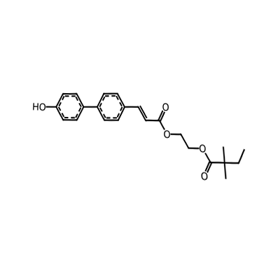 CCC(C)(C)C(=O)OCCOC(=O)/C=C/c1ccc(-c2ccc(O)cc2)cc1